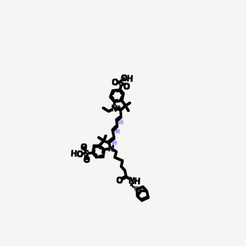 CC[N+]1=C(/C=C/C=C/C=C2/N(CCCCCC(=O)NC[C@@H]3CC4C=CC3C4)c3ccc(S(=O)(=O)O)cc3C2(C)C)C(C)(C)c2cc(S(=O)(=O)O)ccc21